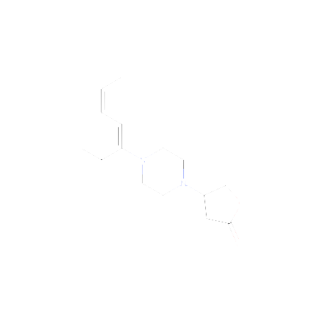 C/C=C\C=C(/CC)N1CCN(C2COC(=O)C2)CC1